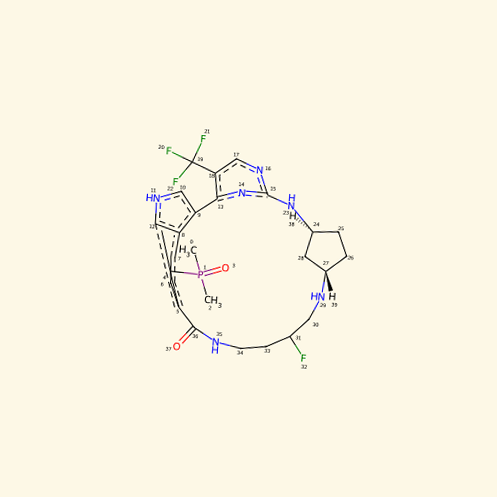 CP(C)(=O)c1c2ccc3c(c[nH]c13)-c1nc(ncc1C(F)(F)F)N[C@H]1CC[C@@H](C1)NCC(F)CCNC2=O